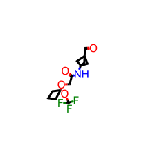 O=CC12CC(NC(=O)COC3(OC(F)(F)F)CCC3)(C1)C2